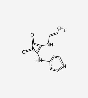 CC=CNc1c(Nc2ccncc2)c(=O)c1=O